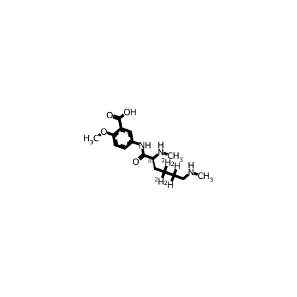 [2H]C([2H])(CNC)C([2H])([2H])C[C@H](NC)C(=O)Nc1ccc(OC)c(C(=O)O)c1